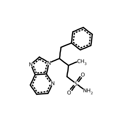 CC(CS(N)(=O)=O)C(Cc1ccccc1)n1cnc2cccnc21